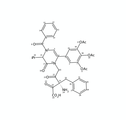 CC(=O)Oc1cc(C2=CN(C(=O)c3ccccc3)C(C(C)C)C(=O)N2CC(=O)[C@@](N)(Cc2ccccc2)C(=O)C(=O)O)cc(OC(C)=O)c1OC(C)=O